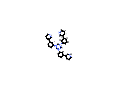 c1cncc(-c2cccc(N3CN(c4cccc(-c5cccnc5)c4)CN(c4cccc(-c5cccnc5)c4)C3)c2)c1